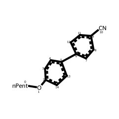 CCCCCOc1ccc(-c2ccc(C#N)cc2)cc1